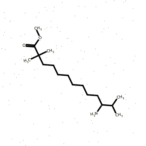 COC(=O)C(C)(C)CCCCCCCCC(N)C(C)C